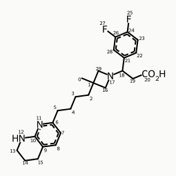 CC1(CCCCc2ccc3c(n2)NCCC3)CN(C(CC(=O)O)c2ccc(F)c(F)c2)C1